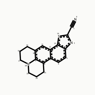 N#Cc1nc2ccc3c4c5c(cc3c2s1)CCCN5CCC4